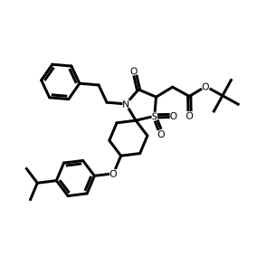 CC(C)c1ccc(OC2CCC3(CC2)N(CCc2ccccc2)C(=O)C(CC(=O)OC(C)(C)C)S3(=O)=O)cc1